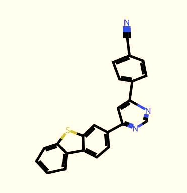 N#Cc1ccc(-c2cc(-c3ccc4c(c3)sc3ccccc34)ncn2)cc1